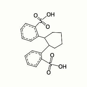 O=S(=O)(O)c1ccccc1C1CCCCC1c1ccccc1S(=O)(=O)O